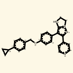 c1cc(-c2nn3c(c2-c2ccc(OCc4ccc(C5CC5)cc4)cc2)NCC3)ccn1